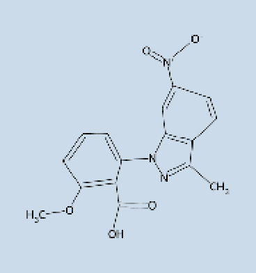 COc1cccc(-n2nc(C)c3ccc([N+](=O)[O-])cc32)c1C(=O)O